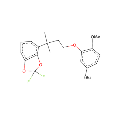 COc1ccc(C(C)(C)C)cc1OCCC(C)(C)c1cccc2c1OC(F)(F)O2